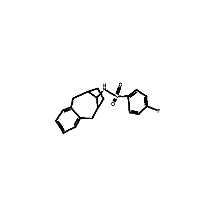 O=S(=O)(NC1C2CCC1Cc1ccccc1C2)c1ccc(F)cc1